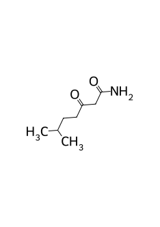 CC(C)CCC(=O)CC(N)=O